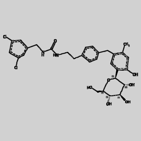 Cc1cc(O)c([C@@H]2O[C@H](CO)[C@@H](O)[C@H](O)[C@H]2O)cc1Cc1ccc(CCNC(=O)NCc2cc(Cl)cc(Cl)c2)cc1